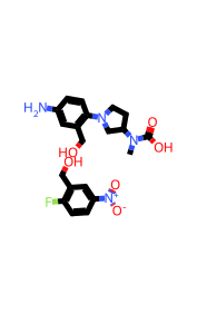 CN(C(=O)O)C1CCN(c2ccc(N)cc2CO)C1.O=[N+]([O-])c1ccc(F)c(CO)c1